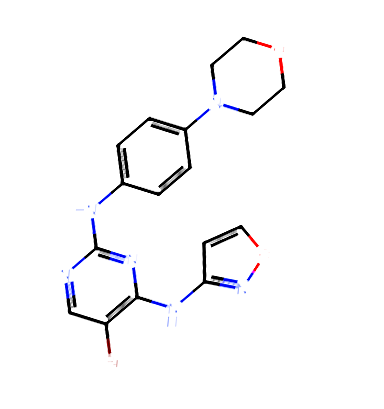 Brc1cnc(Nc2ccc(N3CCOCC3)cc2)nc1Nc1ccon1